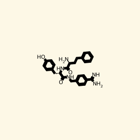 N=C(N)c1ccc(CNC(=O)[C@H](Cc2ccc(O)cc2)NC(=O)[C@H](N)CCc2ccccc2)cc1